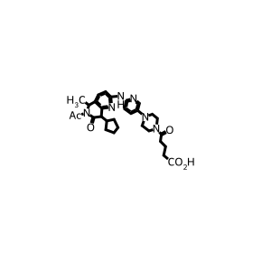 CC(=O)N1C(=O)C(C2CCCC2)c2nc(Nc3ccc(N4CCN(C(=O)CCCC(=O)O)CC4)cn3)ccc2C1C